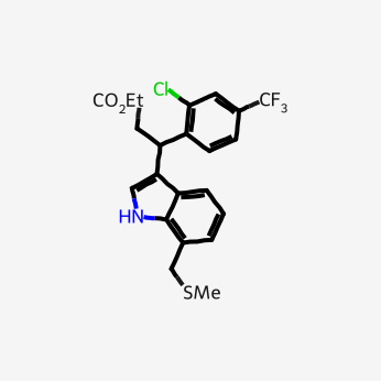 CCOC(=O)CC(c1ccc(C(F)(F)F)cc1Cl)c1c[nH]c2c(CSC)cccc12